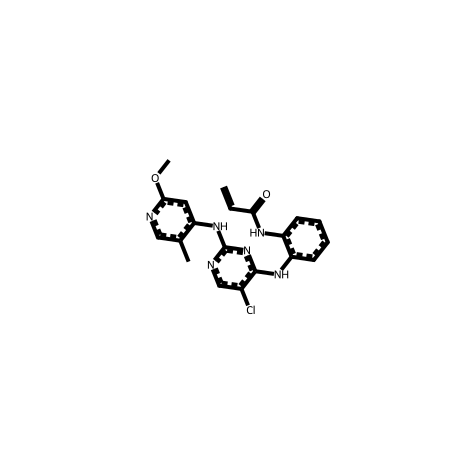 C=CC(=O)Nc1ccccc1Nc1nc(Nc2cc(OC)ncc2C)ncc1Cl